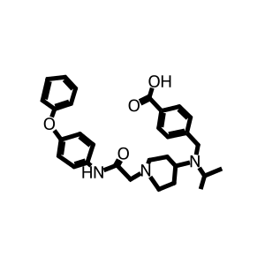 CC(C)N(Cc1ccc(C(=O)O)cc1)C1CCN(CC(=O)Nc2ccc(Oc3ccccc3)cc2)CC1